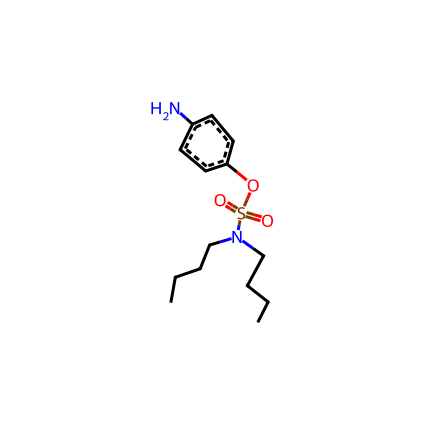 CCCCN(CCCC)S(=O)(=O)Oc1ccc(N)cc1